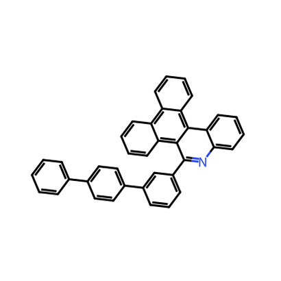 c1ccc(-c2ccc(-c3cccc(-c4nc5ccccc5c5c6ccccc6c6ccccc6c45)c3)cc2)cc1